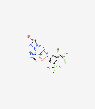 CC(NC(=O)c1cc(C(F)(F)F)cc(C(F)(F)F)c1)c1nccnc1-n1ncc(Br)n1